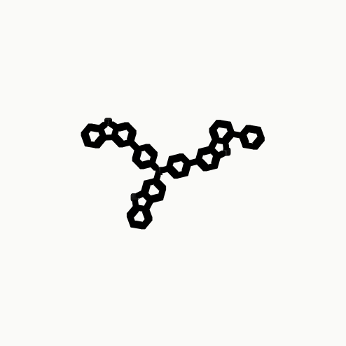 c1ccc(-c2cccc3c2oc2ccc(-c4ccc(N(c5ccc(-c6ccc7oc8ccccc8c7c6)cc5)c5ccc6c(c5)oc5ccccc56)cc4)cc23)cc1